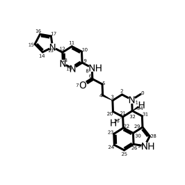 CN1C[C@H](CCC(=O)Nc2ccc(-n3cccc3)nn2)C[C@@H]2c3cccc4[nH]cc(c34)C[C@H]21